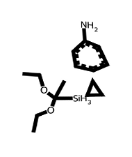 C1CC1.CCOC(C)([SiH3])OCC.Nc1ccccc1